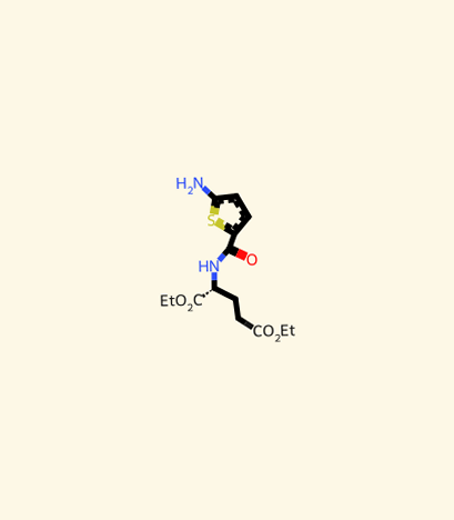 CCOC(=O)CC[C@@H](NC(=O)c1ccc(N)s1)C(=O)OCC